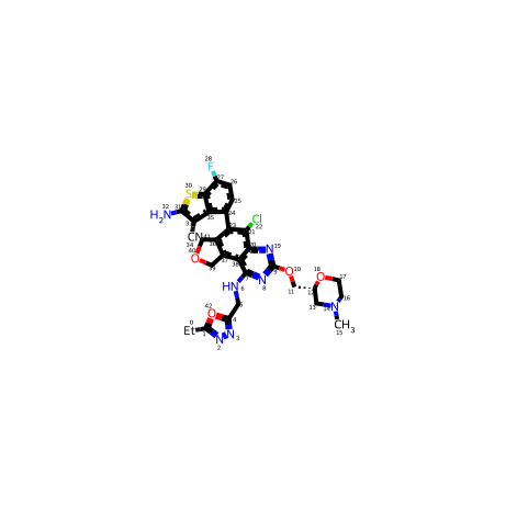 CCc1nnc(CNc2nc(OC[C@H]3CN(C)CCO3)nc3c(Cl)c(-c4ccc(F)c5sc(N)c(C#N)c45)c4c(c23)COC4)o1